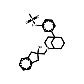 CS(=O)(=O)Nc1cccc(C23CCCC(C2)N(CC2(O)Cc4ccccc4C2)CC3)c1